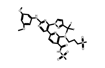 COc1cc(Nc2ncc(-c3ccc(C(=O)NS(C)(=O)=O)c(OCCCS(C)(=O)=O)n3)c(-n3ccc(C(F)(F)F)n3)n2)cc(OC)c1